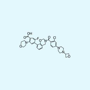 O=C(O)c1cc(F)c(-c2cccc3c2OCN(C(=O)c2ccc(N4CCN(C5COC5)CC4)cc2Cl)C3)cc1N1CCOCC1